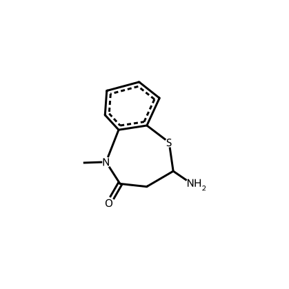 CN1C(=O)CC(N)Sc2ccccc21